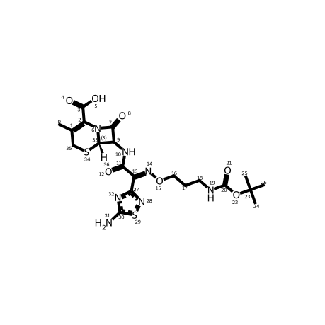 CC1=C(C(=O)O)N2C(=O)C(NC(=O)C(=NOCCCNC(=O)OC(C)(C)C)c3nsc(N)n3)[C@@H]2SC1